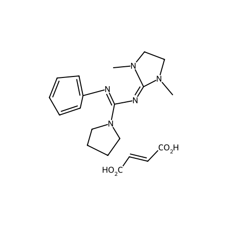 CN1CCN(C)C1=N/C(=N/c1ccccc1)N1CCCC1.O=C(O)/C=C/C(=O)O